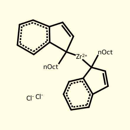 CCCCCCCC[C]1([Zr+2][C]2(CCCCCCCC)C=Cc3ccccc32)C=Cc2ccccc21.[Cl-].[Cl-]